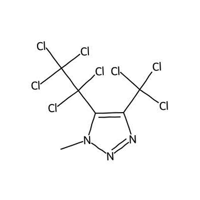 Cn1nnc(C(Cl)(Cl)Cl)c1C(Cl)(Cl)C(Cl)(Cl)Cl